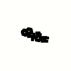 CNC1(NC)C=CC(S(=O)(=O)Nc2cccc3cccnc23)C([N+](=O)[O-])=C1